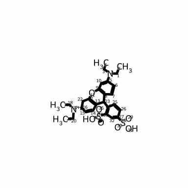 CCN(CC)c1ccc2c(c1)OC1=C(C=CC(=[N+](CC)CC)C1)C2c1ccc(S(=O)(=O)O)cc1S(=O)(=O)O